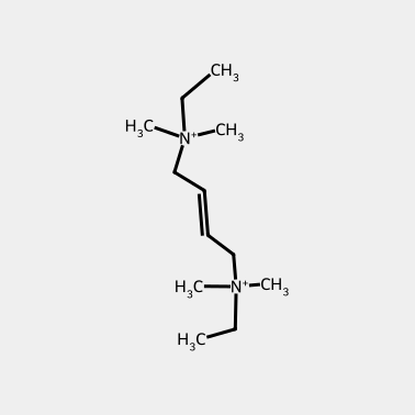 CC[N+](C)(C)C/C=C/C[N+](C)(C)CC